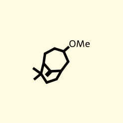 C=C1C2CCC(C)(C)C1CCC(OC)C2